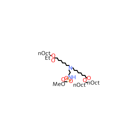 CCCCCCCCC(CC)OC(=O)CCCCCCCN(CCCCCCCC(=O)OC(CCCCCCCC)CCCCCCCC)CCCNS(=O)(=O)CC(=O)OC